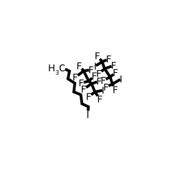 CCCCCCCCI.FC(F)(F)C(F)(F)C(F)(F)C(F)(F)I.FC(F)(I)C(F)(F)C(F)(F)C(F)(F)I